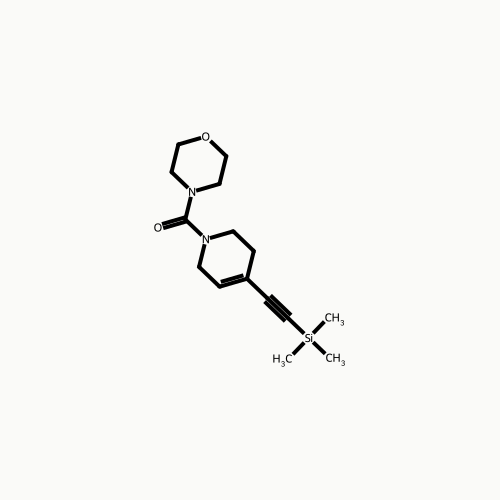 C[Si](C)(C)C#CC1=CCN(C(=O)N2CCOCC2)CC1